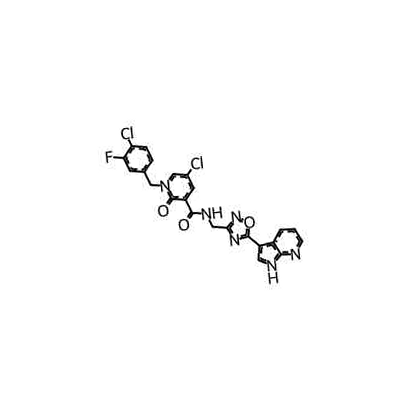 O=C(NCc1noc(-c2c[nH]c3ncccc23)n1)c1cc(Cl)cn(Cc2ccc(Cl)c(F)c2)c1=O